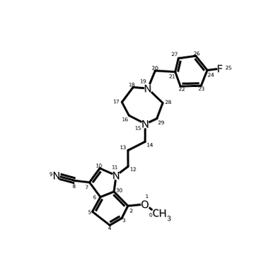 COc1cccc2c(C#N)cn(CCCN3CCCN(Cc4ccc(F)cc4)CC3)c12